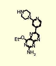 CCOc1nc(N)nc2ncc(-c3ccnc(N4CCNCC4)c3)nc12